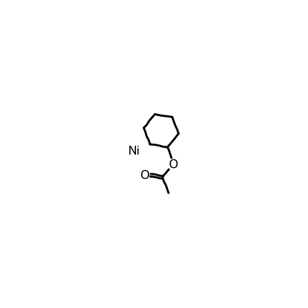 CC(=O)OC1CCCCC1.[Ni]